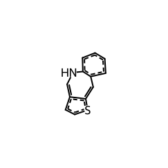 C1=c2ccsc2=Cc2ccccc2N1